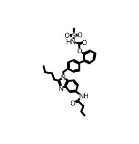 CCCCc1nc2cc(NC(=O)CCC)ccc2n1Cc1ccc(-c2ccccc2OC(=O)NS(C)(=O)=O)cc1